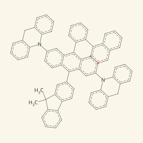 CC1(C)c2ccccc2-c2ccc(-c3c4cc(N5c6ccccc6Cc6ccccc65)ccc4c(-c4ccccc4-c4cccc5ccccc45)c4cc(N5c6ccccc6Cc6ccccc65)ccc34)cc21